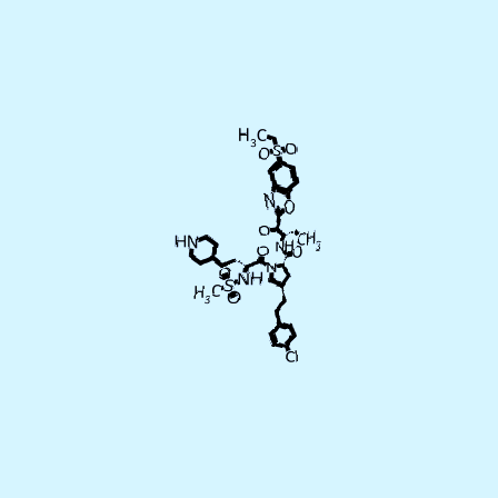 CC[C@H](NC(=O)[C@@H]1C[C@@H](CCc2ccc(Cl)cc2)CN1C(=O)[C@@H](CCC1CCNCC1)NS(C)(=O)=O)C(=O)c1nc2cc(S(=O)(=O)CC)ccc2o1